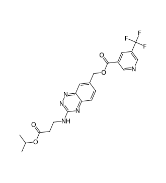 CC(C)OC(=O)CCNc1nnc2cc(COC(=O)c3cncc(C(F)(F)F)c3)ccc2n1